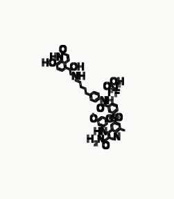 COc1cccc(Nc2c(C(N)=O)cnc3c(C)cc(S(=O)(=O)c4cccc(C(=O)Nc5ccc(CCCCCNC[C@H](O)c6ccc(O)c7[nH]c(=O)ccc67)cc5)c4)cc23)c1.O=C(O)C(F)(F)F